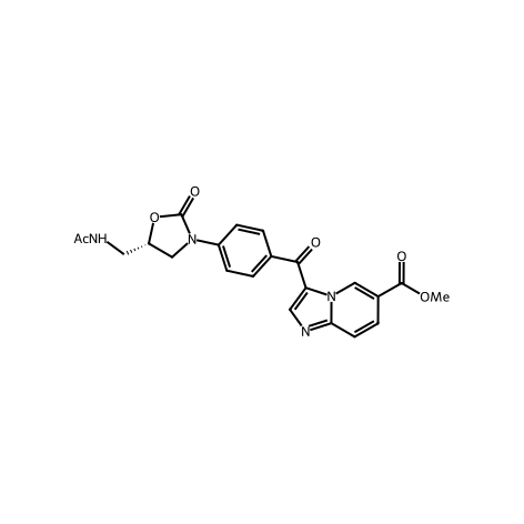 COC(=O)c1ccc2ncc(C(=O)c3ccc(N4C[C@H](CNC(C)=O)OC4=O)cc3)n2c1